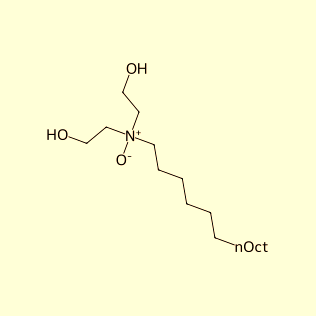 CCCCCCCCCCCCCC[N+]([O-])(CCO)CCO